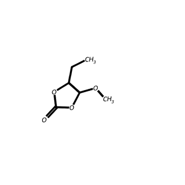 CCC1OC(=O)OC1OC